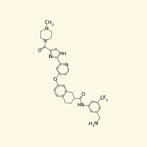 CN1CCN(C(=O)c2c[nH]c(-c3cc(Oc4ccc5c(c4)CC(C(=O)Nc4cc(CN)cc(C(F)(F)F)c4)CC5)ccn3)n2)CC1